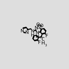 C[C@H](c1ccccc1F)c1c(F)ccc2c1NC(NCc1ccncn1)=NS2(=O)=O